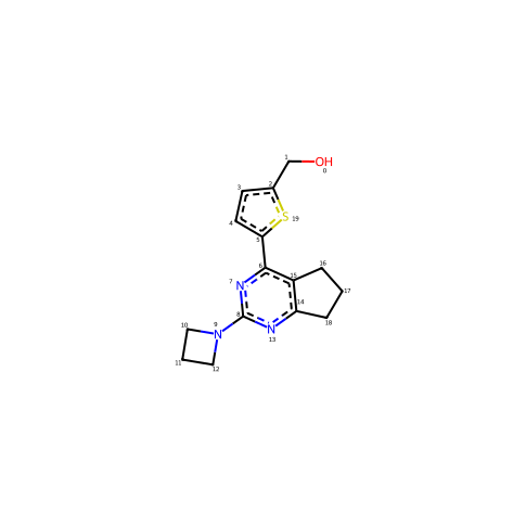 OCc1ccc(-c2nc(N3CCC3)nc3c2CCC3)s1